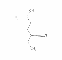 CSC(C#N)CCC(C)C